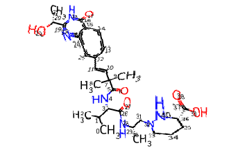 CC(C)[C@H](NC(=O)C(C)(C)/C=C/c1ccc2c(=O)[nH]c([C@@H](C)O)nc2c1)C(=O)N[C@@H](C)CN1CCC[C@@H](C(=O)O)N1